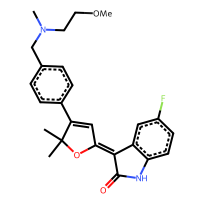 COCCN(C)Cc1ccc(C2=CC(=C3C(=O)Nc4ccc(F)cc43)OC2(C)C)cc1